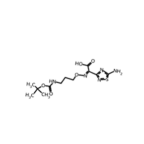 CC(C)(C)OC(=O)NCCCON=C(C(=O)O)c1nsc(N)n1